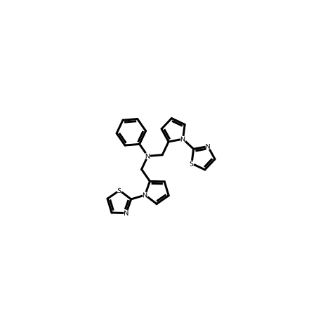 c1ccc(N(Cc2cccn2-c2nccs2)Cc2cccn2-c2nccs2)cc1